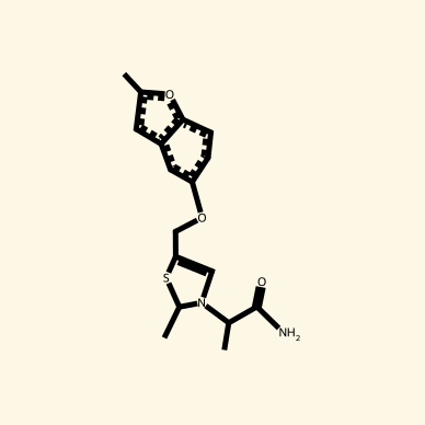 Cc1cc2cc(OCC3=CN(C(C)C(N)=O)C(C)S3)ccc2o1